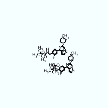 CN1CCN(c2cn3nccc3c(-c3ccc(CN(C(=O)O)C(C)(C)C)c(F)c3)n2)CC1.CN1CCN(c2cn3nccc3c(-c3ccc(CNC(=O)OC(C)(C)C)c(F)c3)n2)CC1